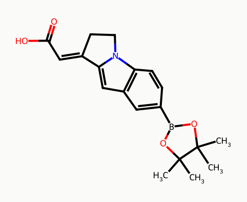 CC1(C)OB(c2ccc3c(c2)cc2n3CCC2=CC(=O)O)OC1(C)C